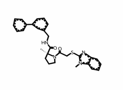 Cn1c(SCC(=O)N2CCC[C@@]2(C)C(=O)NCc2cccc(-c3ccccc3)c2)nc2ccccc21